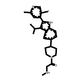 CNCC(=O)N1CCC(c2ccc3[nH]c(-c4cc(C)ncc4F)c(C(C)C)c3c2)CC1